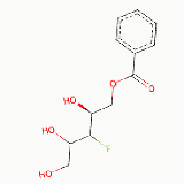 O=C(OC[C@H](O)C(F)C(O)CO)c1ccccc1